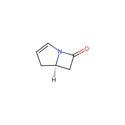 O=C1C[C@H]2CC=CN12